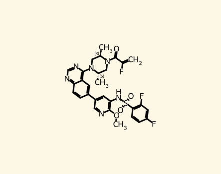 C=C(F)C(=O)N1C[C@H](C)N(c2ncnc3ccc(-c4cnc(OC)c(NS(=O)(=O)c5ccc(F)cc5F)c4)cc23)C[C@H]1C